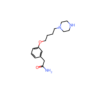 NC(=O)Cc1cccc(OCCCCN2CCNCC2)c1